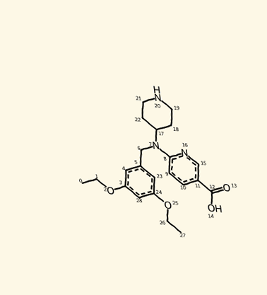 CCOc1cc(CN(c2ccc(C(=O)O)cn2)C2CCNCC2)cc(OCC)c1